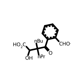 CCCCC(CCC)(C(=O)c1ccccc1[C]=O)C(O)C(=O)O